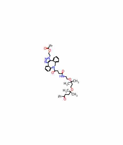 CC(C)C(=O)CCC(C)(C)OCCC(C)(C)OCCNC(=O)CCC(=O)N1Cc2ccccc2-c2c(nnn2CCOC(=O)C(C)C)-c2ccccc21